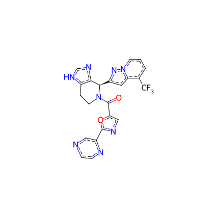 O=C(c1cnc(-c2cnccn2)o1)N1CCc2[nH]cnc2[C@H]1c1cc2c(C(F)(F)F)cccn2n1